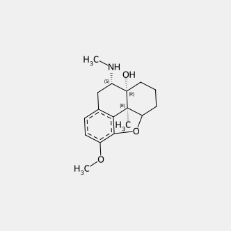 CN[C@H]1Cc2ccc(OC)c3c2[C@]2(C)C(CCC[C@]12O)O3